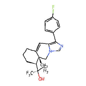 C[C@]12Cn3cnc(-c4ccc(F)cc4)c3C=C1CCC[C@@H]2[C@@](C)(O)C(F)(F)F